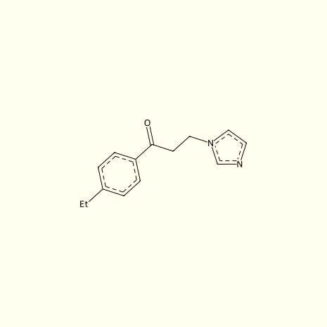 CCc1ccc(C(=O)CCn2ccnc2)cc1